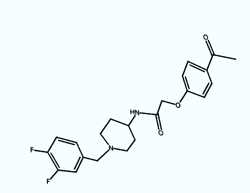 CC(=O)c1ccc(OCC(=O)NC2CCN(Cc3ccc(F)c(F)c3)CC2)cc1